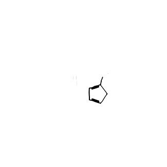 Cl.Cl.Cl.Cl.[Ta][C]1=CC=CC1